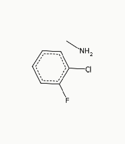 CN.Fc1ccccc1Cl